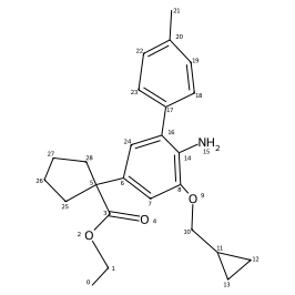 CCOC(=O)C1(c2cc(OCC3CC3)c(N)c(-c3ccc(C)cc3)c2)CCCC1